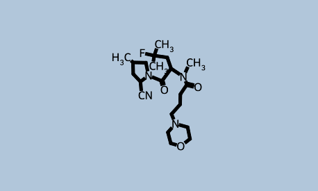 CC1CC(C#N)N(C(=O)C(CC(C)(C)F)N(C)C(=O)CCCN2CCOCC2)C1